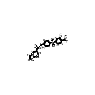 O=C(NCc1ccc(S(=O)(=O)c2ccc(C(F)F)c(F)c2)cc1)c1cnc2nccn2c1